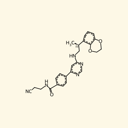 C[C@H](CNc1cc(-c2ccc(C(=O)NCCC#N)cc2)ncn1)c1cccc2c1OCCO2